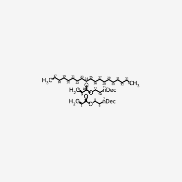 C=CC(=O)OCCCCCCCCCCCC.C=CC(=O)OCCCCCCCCCCCC.C[CH]CCCCCCCCCCCCCCCCC